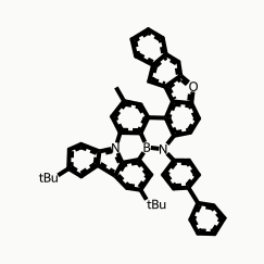 Cc1cc2c3c(c1)-n1c4ccc(C(C)(C)C)cc4c4cc(C(C)(C)C)cc(c41)B3N(c1ccc(-c3ccccc3)cc1)c1ccc3oc4cc5ccccc5cc4c3c1-2